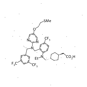 CCN(C[C@H]1CC[C@H](CC(=O)O)CC1)c1ccc(C(F)(F)F)cc1CN(c1ncc(OCCSC)cn1)[C@@H](C)c1cc(C(F)(F)F)cc(C(F)(F)F)c1